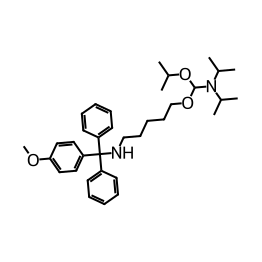 COc1ccc(C(NCCCCCOC(OC(C)C)N(C(C)C)C(C)C)(c2ccccc2)c2ccccc2)cc1